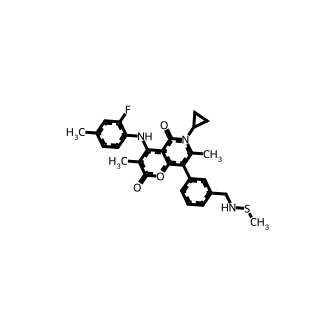 CSNCc1cccc(-c2c(C)n(C3CC3)c(=O)c3c(Nc4ccc(C)cc4F)c(C)c(=O)oc23)c1